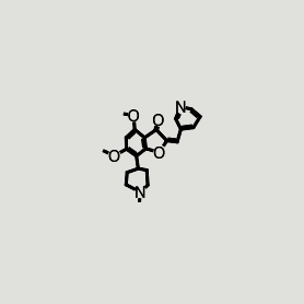 COc1cc(OC)c(C2CCN(C)CC2)c2c1C(=O)/C(=C\c1cccnc1)O2